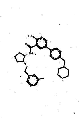 Cc1cccc(CO[C@H]2CCC[C@@H]2NC(=O)c2cc(-c3ccc(CN4CCNCC4)cc3)cnc2N)c1